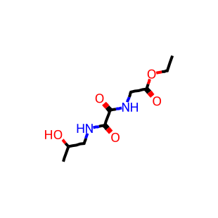 CCOC(=O)CNC(=O)C(=O)NCC(C)O